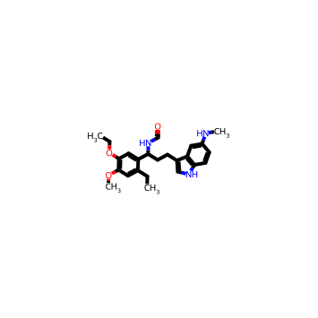 CCOc1cc(C(CCc2c[nH]c3ccc(NC)cc23)NC=O)c(CC)cc1OC